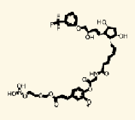 COc1cc(/C=C/C(=O)OCCCCON(O)O)ccc1OC(=O)CNC(=O)CCC/C=C\C[C@@H]1[C@@H](/C=C/[C@@H](O)COc2cccc(C(F)(F)F)c2)[C@H](O)C[C@@H]1O